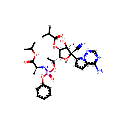 CC(C)OC(=O)[C@H](C)NP(=O)(Oc1ccccc1)OC(C)[C@H]1O[C@@](C#N)(c2ccc3c(N)ncnn23)[C@](C)(O)[C@@H]1OC(=O)C(C)C